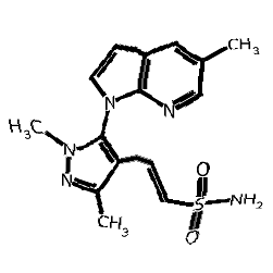 Cc1cnc2c(ccn2-c2c(C=CS(N)(=O)=O)c(C)nn2C)c1